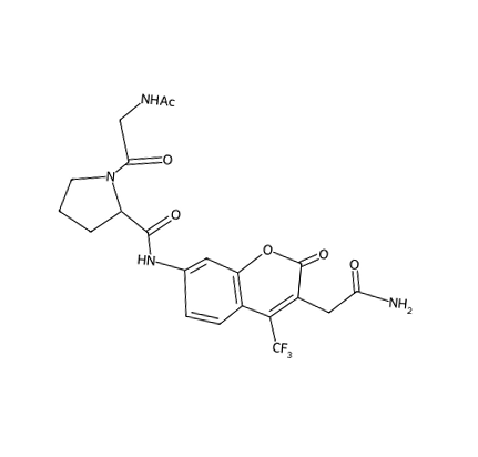 CC(=O)NCC(=O)N1CCCC1C(=O)Nc1ccc2c(C(F)(F)F)c(CC(N)=O)c(=O)oc2c1